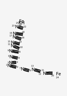 C#N.C#N.C#N.C#N.C#N.C#N.C#N.C#N.C#N.C#N.C#N.C#N.[Fe].[Fe].[KH]